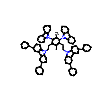 Cc1c(CCn2c3ccc(-c4ccccc4)cc3c3cc(-c4ccccc4)ccc32)c(-n2c3ccccc3c3ccccc32)c(C#N)c(-n2c3ccccc3c3ccccc32)c1CCn1c2ccc(-c3ccccc3)cc2c2cc(-c3ccccc3)ccc21